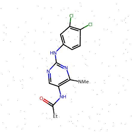 CCC(=O)Nc1cnc(Nc2ccc(Cl)c(Cl)c2)nc1NC